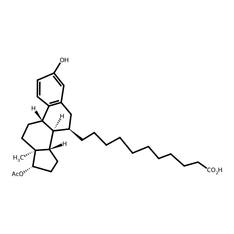 CC(=O)O[C@H]1CC[C@H]2[C@@H]3[C@H](CCCCCCCCCCC(=O)O)Cc4cc(O)ccc4[C@H]3CC[C@]12C